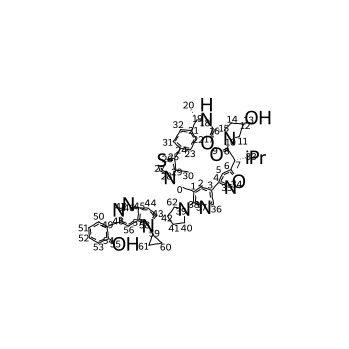 Cc1cc(-c2cc([C@H](C(=O)N3C[C@H](O)C[C@H]3C(=O)N[C@@H](C)c3ccc(-c4scnc4C)cc3)C(C)C)on2)cnc1N1CC[C@H](c2cc3nnc(-c4ccccc4O)cc3n2C2CC2)C1